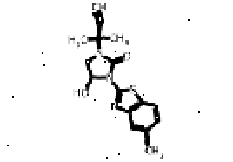 C#CC(C)(C)N1CC(O)N(c2nc3cc(C)ccc3s2)C1=O